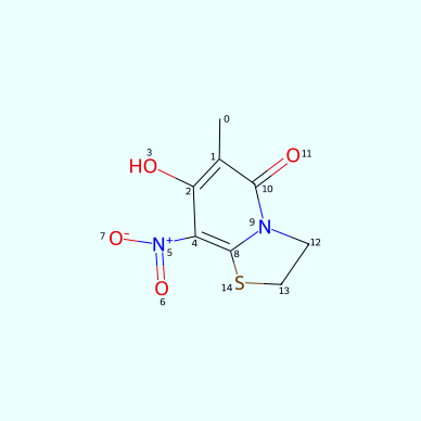 Cc1c(O)c([N+](=O)[O-])c2n(c1=O)CCS2